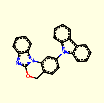 c1ccc2c(c1)nc1n2-c2cc(-n3c4ccccc4c4ccccc43)ccc2CO1